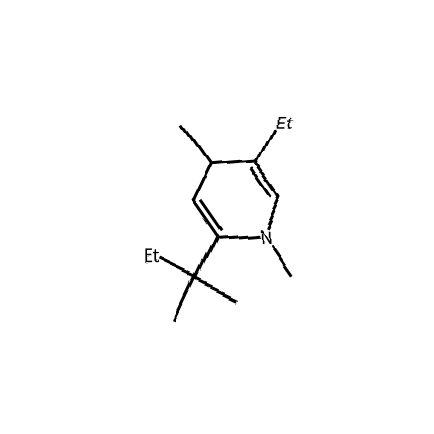 CCC1=CN(C)C(C(C)(C)CC)=CC1C